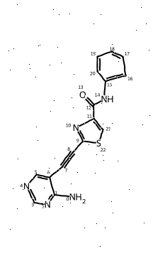 Nc1ncncc1C#Cc1nc(C(=O)Nc2ccccc2)cs1